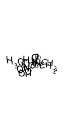 CCC(CC)n1c(C[C@@H]2CCCO2)nc2cc(C(=O)NC(CC(=O)O)CC(C)C)ccc21